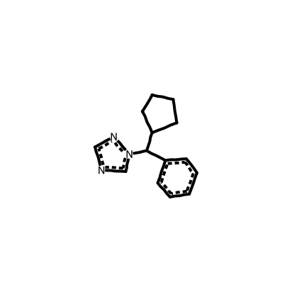 c1ccc(C(C2CCCC2)n2cncn2)cc1